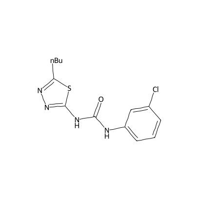 CCCCc1nnc(NC(=O)Nc2cccc(Cl)c2)s1